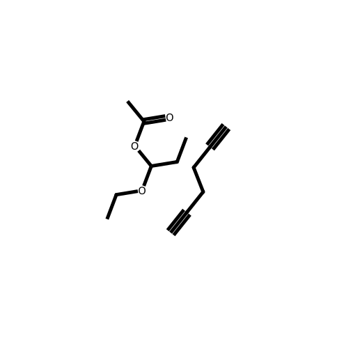 C#CCCC#C.CCOC(CC)OC(C)=O